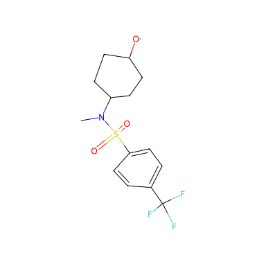 CN(C1CCC([O])CC1)S(=O)(=O)c1ccc(C(F)(F)F)cc1